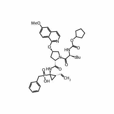 C=C[C@@H]1C[C@]1(NC(=O)[C@@H]1C[C@@H](Oc2nccc3cc(OC)ccc23)CN1C(=O)[C@@H](NC(=O)OC1CCCC1)C(C)(C)C)P(=O)(O)Cc1ccccc1